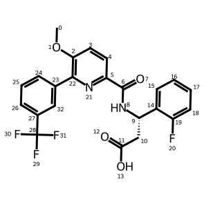 COc1ccc(C(=O)N[C@@H](CC(=O)O)c2ccccc2F)nc1-c1cccc(C(F)(F)F)c1